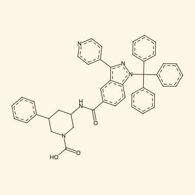 O=C(NC1CC(c2ccccc2)CN(C(=O)O)C1)c1ccc2c(c1)c(-c1ccncc1)nn2C(c1ccccc1)(c1ccccc1)c1ccccc1